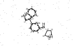 c1cnc2c(-c3cncc(N[C@@H]4CCNC4)n3)cnn2c1